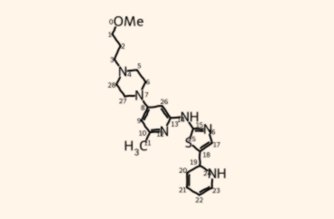 COCCCN1CCN(c2cc(C)nc(Nc3ncc(C4C=CC=CN4)s3)c2)CC1